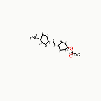 CCCC[C@H]1CC[C@H](CC[C@H]2CC[C@H](OC(=O)CC)CC2)CC1